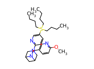 CCCCS(CCCC)(CCCC)c1ccc(N2CC3CC(C2)N3Cc2ccc(OC)nc2)nc1